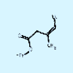 CCC=C(C)CC(=O)OCCC